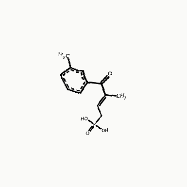 CC(=CCP(=O)(O)O)C(=O)c1cccc(C)c1